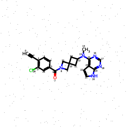 C#Cc1ccc(C(=O)N2CC3(CC(N(C)c4ncnc5[nH]ccc45)C3)C2)cc1Cl